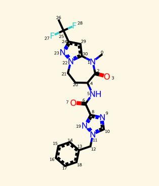 CN1C(=O)C(NC(=O)c2ncn(Cc3ccccc3)n2)CCn2nc(C(C)(F)F)cc21